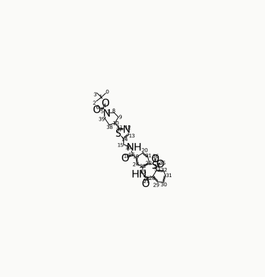 CC(C)(C)OC(=O)N1CCC(c2ncc(CNC(=O)c3ccc4c(c3)NC(=O)c3ccccc3S4(=O)=O)s2)CC1